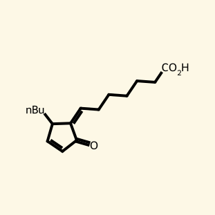 CCCCC1C=CC(=O)C1=CCCCCCC(=O)O